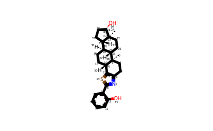 C[C@]12CCc3nc(-c4ccccc4O)sc3[C@@H]1CC[C@@H]1[C@@H]2CC[C@]2(C)[C@@H](O)CC[C@@H]12